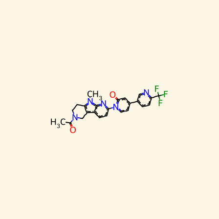 CC(=O)N1CCc2c(c3ccc(-n4ccc(-c5ccc(C(F)(F)F)nc5)cc4=O)nc3n2C)C1